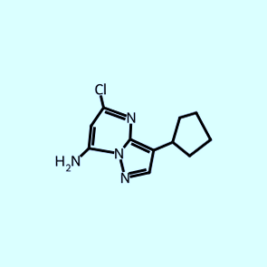 Nc1cc(Cl)nc2c(C3CCCC3)cnn12